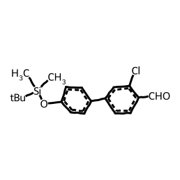 CC(C)(C)[Si](C)(C)Oc1ccc(-c2ccc(C=O)c(Cl)c2)cc1